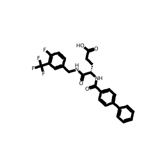 O=C(O)CC[C@H](NC(=O)c1ccc(-c2ccccc2)cc1)C(=O)NCc1ccc(F)c(C(F)(F)F)c1